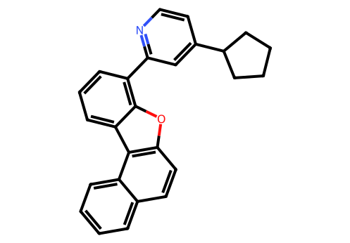 c1ccc2c(c1)ccc1oc3c(-c4cc(C5CCCC5)ccn4)cccc3c12